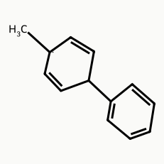 C[C]1C=CC(c2ccccc2)C=C1